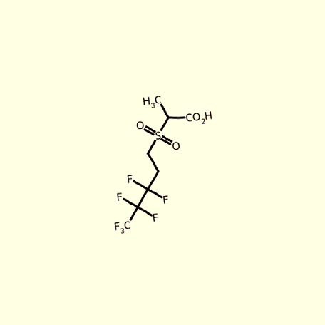 CC(C(=O)O)S(=O)(=O)CCC(F)(F)C(F)(F)C(F)(F)F